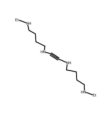 CCNCCCCNC#CNCCCCNCC